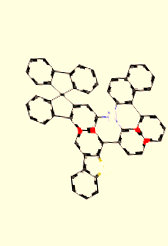 c1ccc(-c2c(N(c3ccc4c(c3)C3(c5ccccc5-c5ccccc53)c3ccccc3-4)c3ccccc3-c3cccc4c3sc3ccccc34)ccc3ccccc23)cc1